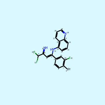 CC(C)c1ccc(/C(=C/C(=N)C(F)F)Nc2cccc3ncccc23)cc1F